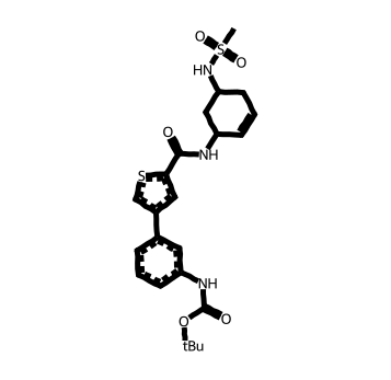 CC(C)(C)OC(=O)Nc1cccc(-c2csc(C(=O)NC3C=CCC(NS(C)(=O)=O)C3)c2)c1